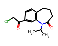 CC(C)N1C(=O)CCCc2ccc(C(=O)CCl)cc21